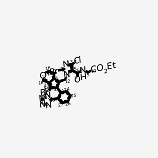 CCCc1nc(Cl)c(C(=O)NCC(=O)OCC)n1Cc1c2ccocc-2c(Br)c1-c1ccccc1-c1nnn[nH]1